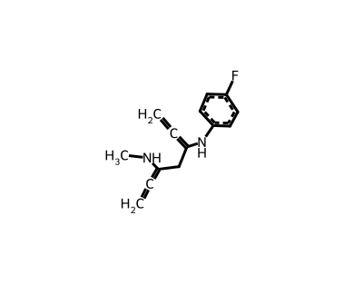 C=C=C(CC(=C=C)Nc1ccc(F)cc1)NC